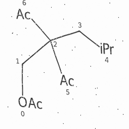 CC(=O)OCC(CC(C)C)(C(C)=O)C(C)=O